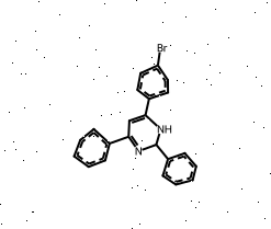 Brc1ccc(C2=CC(c3ccccc3)=NC(c3ccccc3)N2)cc1